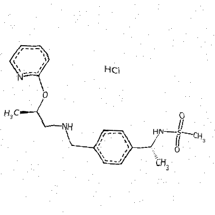 C[C@H](CNCc1ccc([C@@H](C)NS(C)(=O)=O)cc1)Oc1ccccn1.Cl